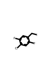 Fc1cc(CI)c(F)cc1Cl